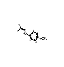 CC(C)=COc1ccc(C(F)(F)F)cc1